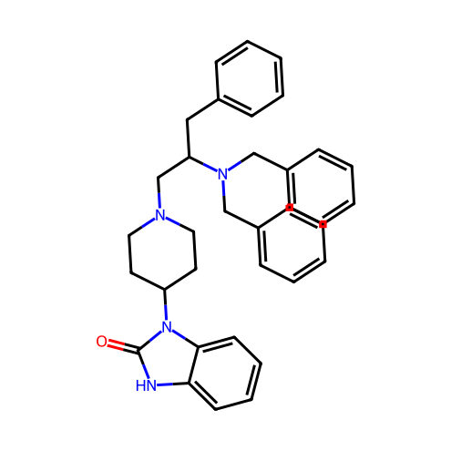 O=c1[nH]c2ccccc2n1C1CCN(CC(Cc2ccccc2)N(Cc2ccccc2)Cc2ccccc2)CC1